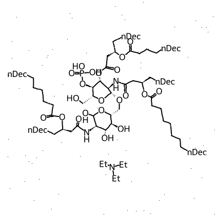 CCCCCCCCCCCCCCCCCC(=O)O[C@H](CCCCCCCCCCC)CC(=O)N[C@H]1[C@H](OC[C@H]2OC(O)[C@H](NC(=O)C[C@@H](CCCCCCCCCCC)OC(=O)CCCCCCCCCCCCCCC)[C@@H](O)[C@@H]2O)O[C@H](CO)[C@@H](OP(=O)(O)O)[C@@H]1OC(=O)C[C@@H](CCCCCCCCCCC)OC(=O)CCCCCCCCCCCCC.CCN(CC)CC